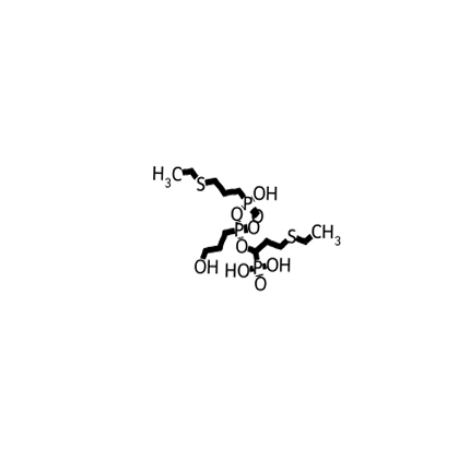 CCSCCCP(=O)(O)OP(=O)(CCCO)OC(CCSCC)P(=O)(O)O